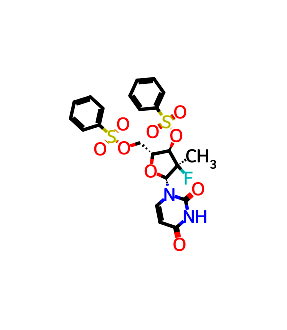 C[C@@]1(F)[C@H](OS(=O)(=O)c2ccccc2)[C@@H](COS(=O)(=O)c2ccccc2)O[C@H]1n1ccc(=O)[nH]c1=O